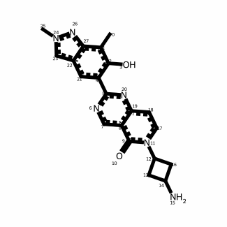 Cc1c(O)c(-c2ncc3c(=O)n(C4CC(N)C4)ccc3n2)cc2cn(C)nc12